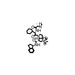 CN[C@@H](C)C(=O)N[C@H](C(=O)N1CC[C@@H]2[C@H]1[C@@H](C(=O)N[C@@H]1CCc3ccccc31)CN2S(C)(=O)=O)C1CCCCC1